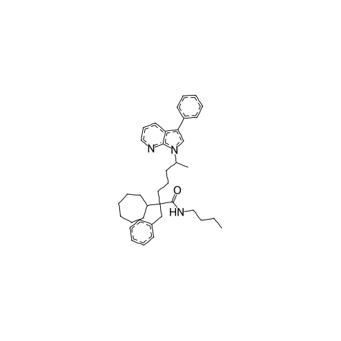 CCCCNC(=O)C(CCCC(C)n1cc(-c2ccccc2)c2cccnc21)(Cc1ccccc1)C1CCCCCC1